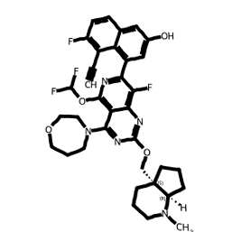 C#Cc1c(F)ccc2cc(O)cc(-c3nc(OC(F)F)c4c(N5CCCOCC5)nc(OC[C@]56CCC[C@H]5N(C)CCC6)nc4c3F)c12